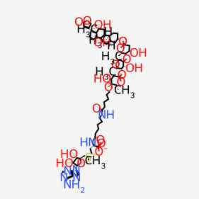 C[C@H]1OCC(O[C@H]2[C@@H](O)CC(O[C@@H]3CC[C@@]4(C)[C@H](CCC5[C@@H]4C[C@@H](O)[C@]4(C)[C@@H](C6=CC(=O)OC6)CC[C@]54O)C3)O[C@@H]2C)[C@H](O)[C@@H]1OC1C[C@H](O)[C@H](OCCCCCC(=O)NCCCCCC(=O)N[C@@H](CC[S+](C)C[C@H]2O[C@@H](n3cnc4c(N)ncnc43)[C@H](O)[C@@H]2O)C(=O)[O-])[C@@H](C)O1